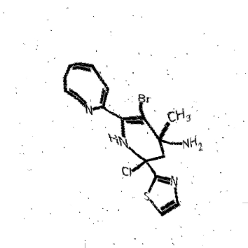 CC1(N)CC(Cl)(c2nccs2)NC(c2ccccn2)=C1Br